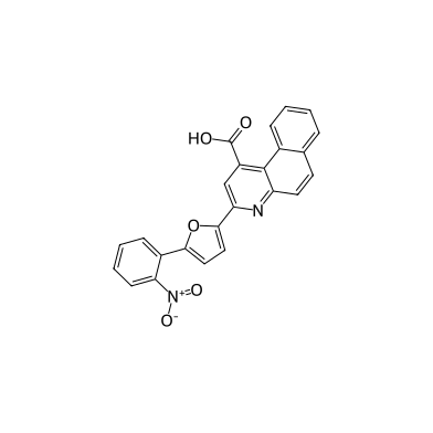 O=C(O)c1cc(-c2ccc(-c3ccccc3[N+](=O)[O-])o2)nc2ccc3ccccc3c12